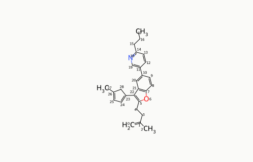 C=C(C)CCc1oc2ccc(-c3ccc(CCC)nc3)cc2c1C1=CC=C(C)C1